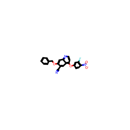 N#Cc1cc2c(Oc3ccc([N+](=O)[O-])c(F)c3)ccnc2cc1OCc1ccccc1